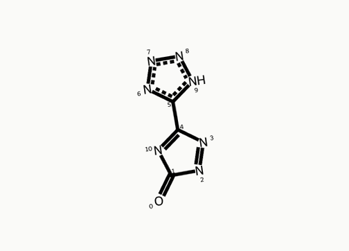 O=C1N=NC(c2nnn[nH]2)=N1